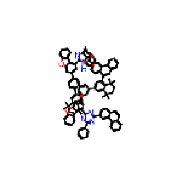 CC1(C)CCC(C)(C)c2cc(-c3ccc(-c4cc(/C5=N/C(c6ccccc6)=C/C=C/C(c6ccc7c(-c8cc(-c9cccc(-c%10cc(-c%11nc(-c%12ccccc%12)nc(-c%12ccc%13ccc%14ccccc%14c%13c%12)n%11)c%11c(c%10)oc%10ccccc%10%11)c9)cc9c8C(C)(C)CCC9(C)C)cc8ccccc8c7c6)N5)c5c(c4)oc4ccccc45)cc3)ccc21